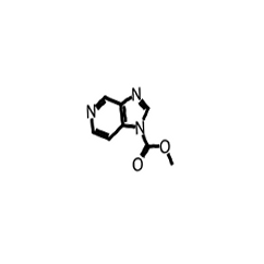 COC(=O)n1cnc2cnccc21